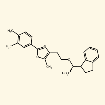 Cc1ccc(-c2nc(CCO[C@H](C(=O)O)C3CCc4ccccc43)c(C)o2)cc1C